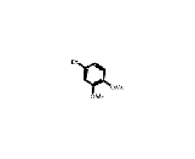 C[CH]c1ccc(OC)c(OC)c1